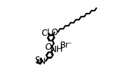 CCCCCCCCCCCCCCCCOc1cc(CC(=O)Nc2ccc(C[n+]3ccsc3)cc2)ccc1Cl.[Br-]